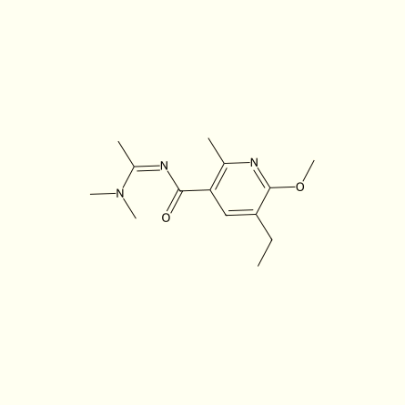 CCc1cc(C(=O)N=C(C)N(C)C)c(C)nc1OC